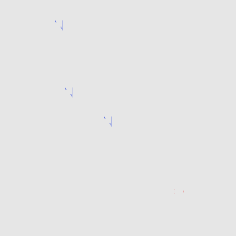 COc1ccc(N2CCN(CC#N)CC2)cc1